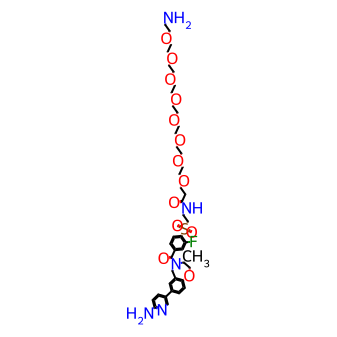 Cc1c(C(=O)N2CCOc3ccc(-c4ccc(N)nc4)cc3C2)ccc(S(=O)(=O)CCNC(=O)CCOCCOCCOCCOCCOCCOCCOCCOCCN)c1F